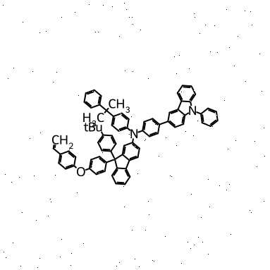 C=Cc1ccc(Oc2ccc(C3(c4ccc(C(C)(C)C)cc4)c4ccccc4-c4ccc(N(c5ccc(-c6ccc7c(c6)c6ccccc6n7-c6ccccc6)cc5)c5ccc(C(C)(C)c6ccccc6)cc5)cc43)cc2)cc1